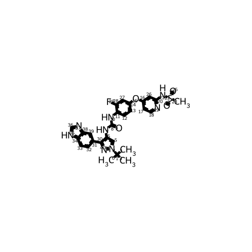 CC(C)(C)n1cc(NC(=O)Nc2ccc(Oc3ccnc(NS(C)(=O)=O)c3)cc2F)c(-c2ccc3[nH]cnc3c2)n1